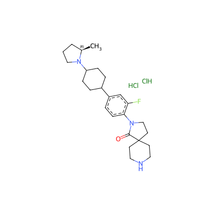 C[C@@H]1CCCN1C1CCC(c2ccc(N3CCC4(CCNCC4)C3=O)c(F)c2)CC1.Cl.Cl